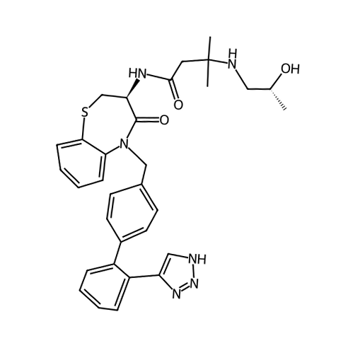 C[C@@H](O)CNC(C)(C)CC(=O)N[C@@H]1CSc2ccccc2N(Cc2ccc(-c3ccccc3-c3c[nH]nn3)cc2)C1=O